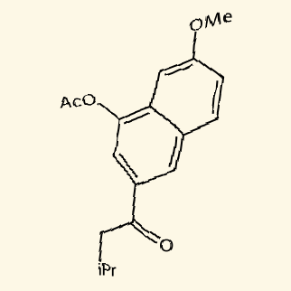 COc1ccc2cc(C(=O)CC(C)C)cc(OC(C)=O)c2c1